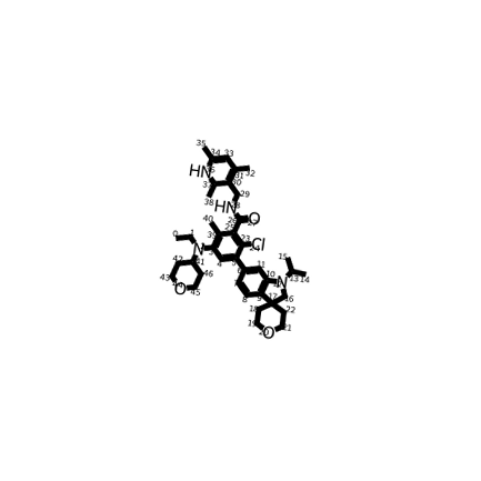 CCN(c1cc(-c2ccc3c(c2)N(C(C)C)CC32CCOCC2)c(Cl)c(C(=O)NCC2=C(C)C=C(C)NC2C)c1C)C1CCOCC1